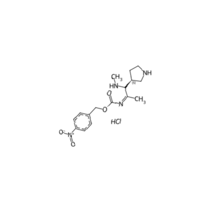 CNC(C(C)=NC(=O)OCc1ccc([N+](=O)[O-])cc1)[C@H]1CCNC1.Cl